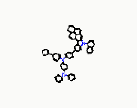 c1ccc(-c2ccc(N(c3ccc(-c4ccc5c(c4)c4c6ccc7cccc8ccc(cc4n5-c4cccc5ccccc45)c6c87)cc3)c3ccc(N(c4ccccc4)c4ccccc4)cc3)cc2)cc1